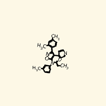 CCC(=O)N(c1cccc(C)c1)c1onc(-c2ccc(C)cc2C)c1-c1ccncc1